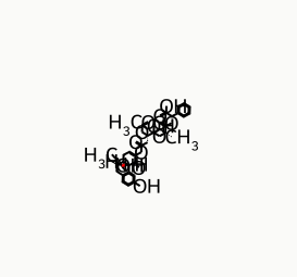 CC(=O)O[C@@H](CC(=O)OC1=CC[C@@]2(O)[C@H]3Cc4ccc(O)c5c4C2(CCN3C)[C@H]1O5)C(O)O[C@@H](C)C(=O)O[C@H](C(=O)O)c1ccccc1